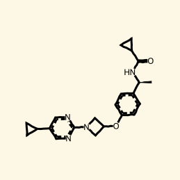 C[C@H](NC(=O)C1CC1)c1ccc(OC2CN(c3ncc(C4CC4)cn3)C2)cc1